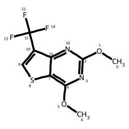 COc1nc(OC)c2scc(C(F)(F)F)c2n1